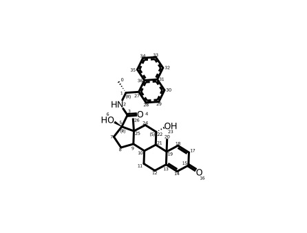 C[C@@H](NC(=O)[C@@]1(O)CCC2C3CCC4=CC(=O)C=CC4(C)C3[C@@H](O)CC21C)c1cccc2ccccc12